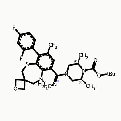 C/N=C(\c1cc(C(F)(F)F)c(-c2ccc(F)cc2F)c2c1N(C)CC1(COC1)CS2)N1C[C@@H](C)N(C(=O)OC(C)(C)C)[C@@H](C)C1